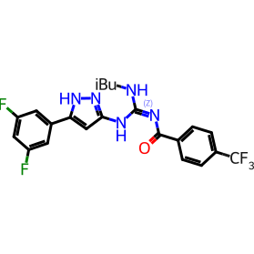 CCC(C)N/C(=N/C(=O)c1ccc(C(F)(F)F)cc1)Nc1cc(-c2cc(F)cc(F)c2)[nH]n1